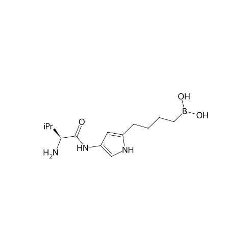 CC(C)[C@H](N)C(=O)Nc1c[nH]c(CCCCB(O)O)c1